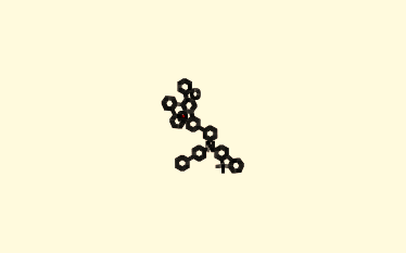 CC1(C)c2ccccc2-c2ccc(N(c3ccc(-c4ccccc4)cc3)c3cccc(-c4ccc5oc6c(-c7ccccc7-c7ccccc7)c7c(cc6c5c4)oc4ccccc47)c3)cc21